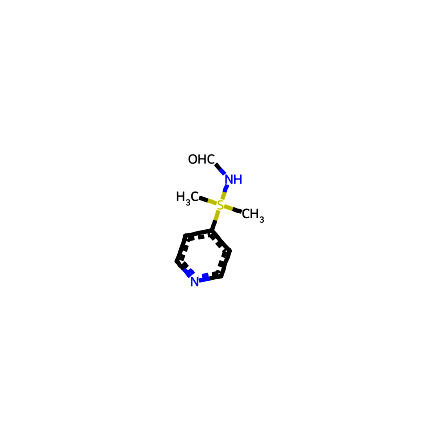 CS(C)(NC=O)c1ccncc1